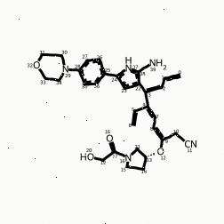 C=C/C=C(/C(C=C)=C/C=C(\CC#N)O[C@@H]1CCN(C(=O)CO)C1)c1cc(-c2ccc(N3CCOCC3)cc2)[nH]c1N